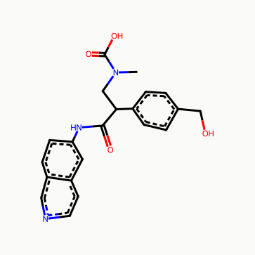 CN(CC(C(=O)Nc1ccc2cnccc2c1)c1ccc(CO)cc1)C(=O)O